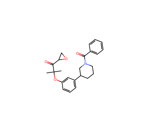 CC(C)(Oc1cccc(C2CCCN(C(=O)c3ccccc3)C2)c1)C(=O)C1CO1